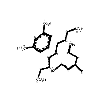 CC(CCO)CCO.O=C(O)CCCCCCCC(=O)O.O=C(O)c1cccc(C(=O)O)c1